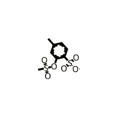 Cc1ccc(S([O])(=O)=O)c(OS(C)(=O)=O)c1